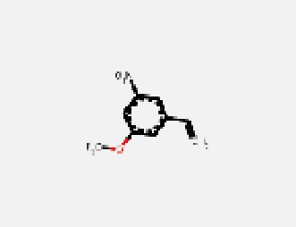 C=[C]c1cc(OC(F)(F)F)cc([N+](=O)[O-])c1